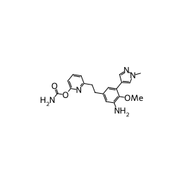 COc1c(N)cc(CCc2cccc(OC(N)=O)n2)cc1-c1cnn(C)c1